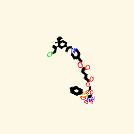 C=C[C@]1(C)CC[C@@H](C(=C)CN2CCC(COC(=O)CCCC(=O)OCCOc3no[n+]([O-])c3S(=O)(=O)c3ccccc3)CC2)C[C@H]1C(=C)CCl